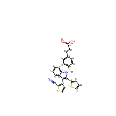 N#Cc1sccc1-c1c(-c2cccs2)n(Sc2ccc(CCC(=O)O)cc2)c2ccccc12